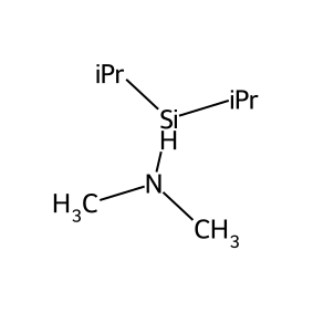 CC(C)[SiH](C(C)C)N(C)C